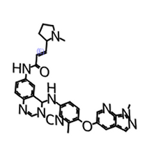 Cc1cc(NC2c3cc(NC(=O)/C=C/C4CCCN4C)ccc3N=CN2C#N)ccc1Oc1cnc2c(cnn2C)c1